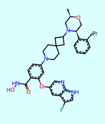 CC(C)c1ccccc1[C@@H]1CO[C@H](C)CN1C1CC2(CCN(c3ccc(C(=O)NO)c(Oc4cnc5[nH]cc(F)c5c4)c3)CC2)C1